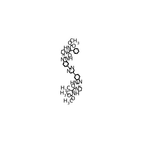 COC(=O)N[C@H](C(=O)N1CCC[C@H]1c1nc2ccc(-c3cnc(-c4ccc5nc([C@@H]6CCCN6C(=O)[C@H](NC(=O)OC)c6ccccc6)[nH]c5c4)nc3)cc2[nH]1)C(C)C